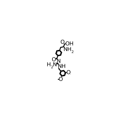 COc1cc(CN/C(N)=N/C(=O)c2ccc(C[C@H](N)C(=O)O)cc2)cc(OC)c1